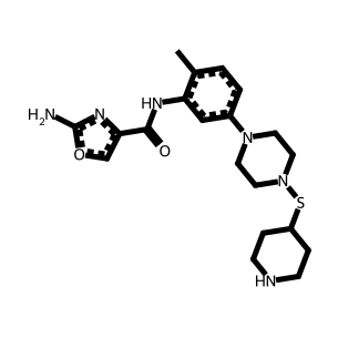 Cc1ccc(N2CCN(SC3CCNCC3)CC2)cc1NC(=O)c1coc(N)n1